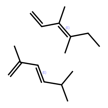 C=C(C)/C=C/C(C)C.C=C/C(C)=C(\C)CC